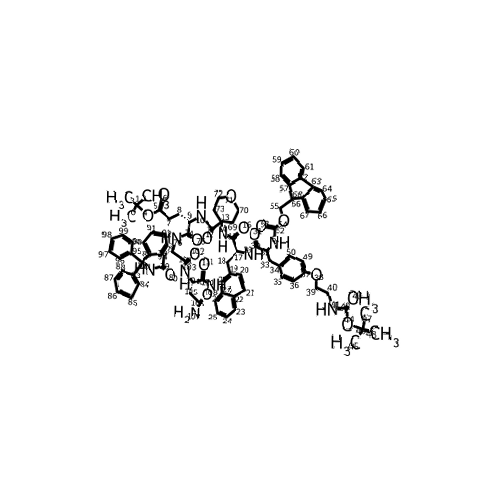 CC(C)(C)OC(=O)CC[C@H](NC(=O)C1(NC(=O)[C@H](Cc2ccc3ccccc3c2)NC(=O)C(Cc2ccc(OCCNC(=O)OC(C)(C)C)cc2)NC(=O)OCC2c3ccccc3-c3ccccc32)CCOCC1)C(=O)N[C@@H](CC(=O)NC(c1ccccc1)(c1ccccc1)c1ccccc1)C(=O)N[C@@H](CC(N)=O)C(N)=O